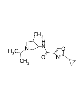 CC1CN(C(C)C)CC1NC(=O)c1coc(C2CC2)n1